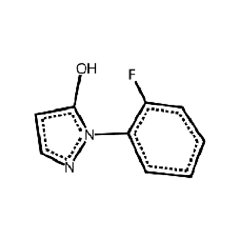 Oc1ccnn1-c1ccccc1F